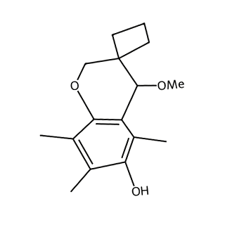 COC1c2c(C)c(O)c(C)c(C)c2OCC12CCC2